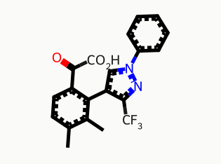 Cc1ccc(C(=O)C(=O)O)c(-c2cn(-c3ccccc3)nc2C(F)(F)F)c1C